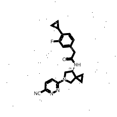 N#Cc1ccc(N2C[C@H](NC(=O)Cc3ccc(C4CC4)c(F)c3)C3(CC3)C2)nn1